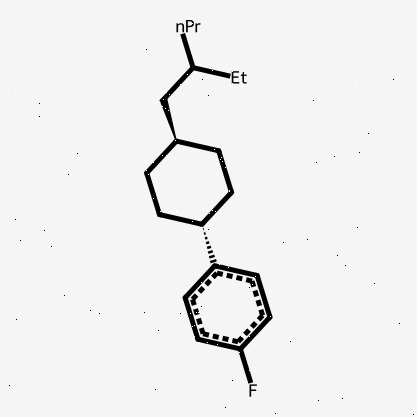 CCCC(CC)C[C@H]1CC[C@H](c2ccc(F)cc2)CC1